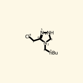 CCCCCN1CNN=C1CCl